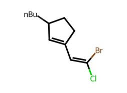 CCCCC1C=C(/C=C(/Cl)Br)CC1